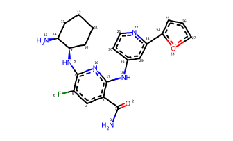 NC(=O)c1cc(F)c(N[C@@H]2CCCC[C@@H]2N)nc1Nc1ccnc(-c2ccco2)c1